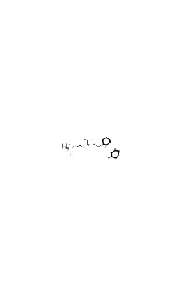 N=C(N)NCCC[C@@H](NC(=O)Cc1ccccc1Nc1c(Cl)cccc1Cl)C(=O)O